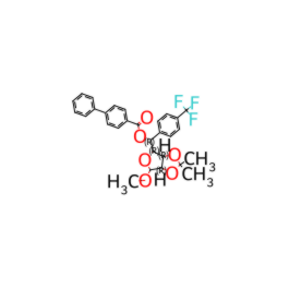 COC1O[C@H]([C@H](OC(=O)c2ccc(-c3ccccc3)cc2)c2ccc(C(F)(F)F)cc2)[C@H]2OC(C)(C)O[C@@H]12